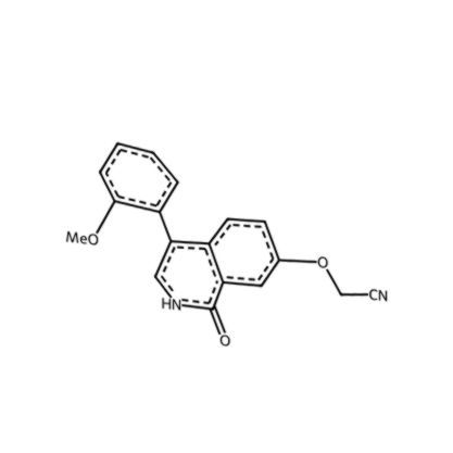 COc1ccccc1-c1c[nH]c(=O)c2cc(OCC#N)ccc12